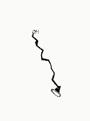 O=CCCCCCCCCCO